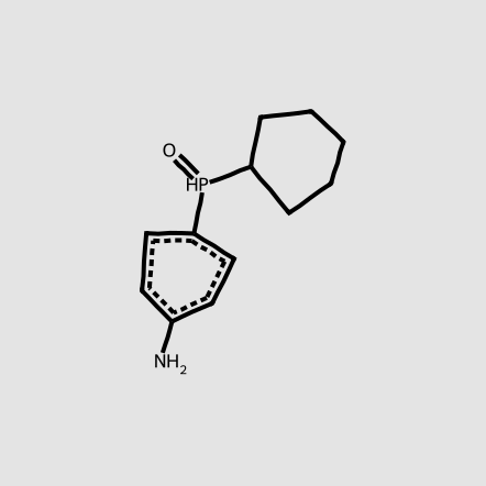 Nc1ccc([PH](=O)C2CCCCC2)cc1